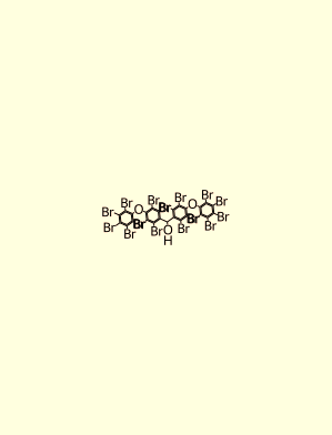 OC(c1c(Br)c(Br)c(Oc2c(Br)c(Br)c(Br)c(Br)c2Br)c(Br)c1Br)c1c(Br)c(Br)c(Oc2c(Br)c(Br)c(Br)c(Br)c2Br)c(Br)c1Br